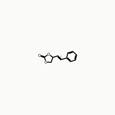 O=C1OCC(/C=C/c2ccccc2)O1